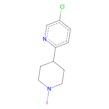 Clc1ccc(C2CCN(I)CC2)nc1